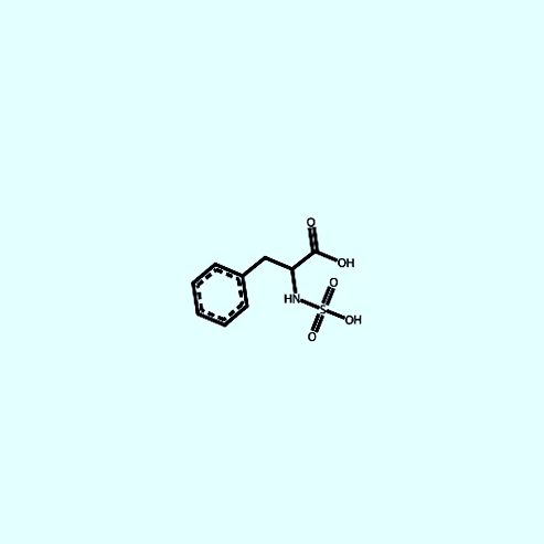 O=C(O)C(Cc1ccccc1)NS(=O)(=O)O